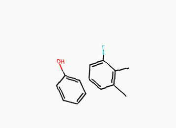 Cc1cccc(F)c1C.Oc1ccccc1